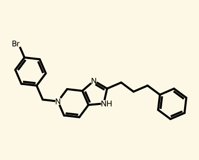 Brc1ccc(CN2C=Cc3[nH]c(CCCc4ccccc4)nc3C2)cc1